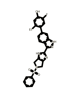 CCc1cc(O)c(F)cc1-c1ccc2c(-c3nc4c([nH]3)CN(S(=O)(=O)c3ccccc3)C4)n[nH]c2c1